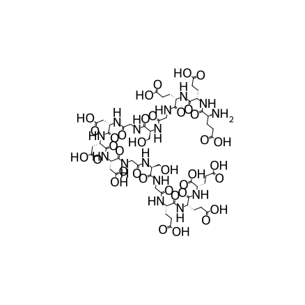 N[C@@H](CCC(=O)O)C(=O)N[C@@H](CCC(=O)O)C(=O)N[C@@H](CCC(=O)O)C(=O)NCC(=O)N[C@@H](CO)C(=O)NCC(=O)N[C@@H](CC(=O)O)C(=O)N[C@@H](CC(=O)O)C(=O)N[C@@H](CC(=O)O)C(=O)NCC(=O)N[C@@H](CO)C(=O)NCC(=O)N[C@@H](CCC(=O)O)C(=O)N[C@@H](CCC(=O)O)C(=O)N[C@@H](CCC(=O)O)C(=O)O